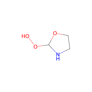 OOC1NCCO1